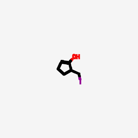 OC1=CCCC1CI